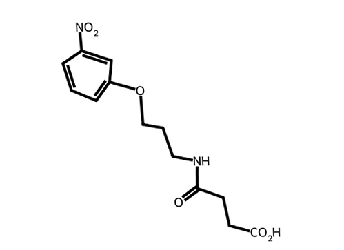 O=C(O)CCC(=O)NCCCOc1cccc([N+](=O)[O-])c1